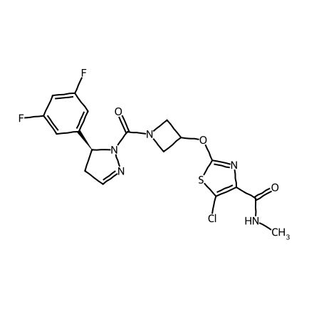 CNC(=O)c1nc(OC2CN(C(=O)N3N=CC[C@H]3c3cc(F)cc(F)c3)C2)sc1Cl